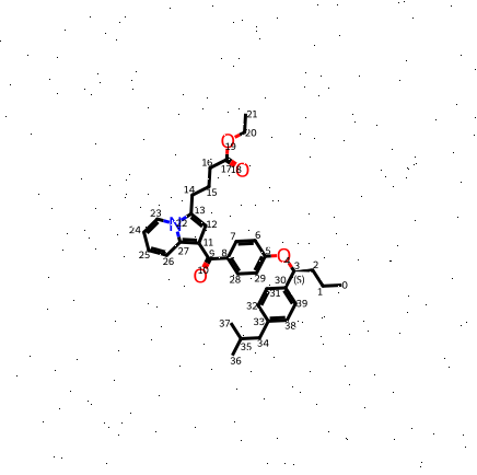 CCC[C@H](Oc1ccc(C(=O)c2cc(CCCC(=O)OCC)n3ccccc23)cc1)c1ccc(CC(C)C)cc1